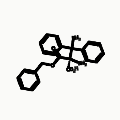 NC(c1ccccc1)(c1ccccc1)[C@](N)(C(=O)O)C(=O)OCc1ccccc1